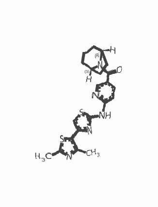 Cc1nc(C)c(-c2csc(Nc3ccc(C(=O)N4[C@@H]5CCC[C@H]4CC5)cn3)n2)s1